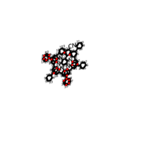 N#Cc1ccc(-c2c(-n3c4ccccc4c4cc(-c5ccccc5)ccc43)c(-n3c4ccc(-c5ccccc5)cc4c4cc(-c5ccccc5)ccc43)c(-n3c4ccccc4c4cc(-c5ccccc5)ccc43)c(-n3c4ccc(-c5ccccc5)cc4c4cc(-c5ccccc5)ccc43)c2-n2c3ccccc3c3cc(-c4ccccc4)ccc32)cc1